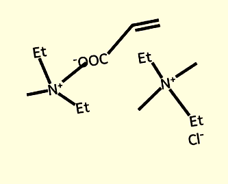 C=CC(=O)[O-].CC[N+](C)(C)CC.CC[N+](C)(C)CC.[Cl-]